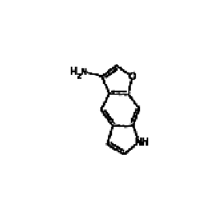 Nc1coc2cc3[nH]ccc3cc12